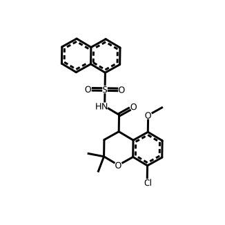 COc1ccc(Cl)c2c1C(C(=O)NS(=O)(=O)c1cccc3ccccc13)CC(C)(C)O2